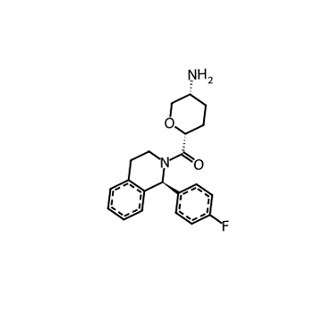 N[C@@H]1CC[C@H](C(=O)N2CCc3ccccc3[C@@H]2c2ccc(F)cc2)OC1